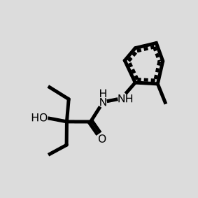 CCC(O)(CC)C(=O)NNc1ccccc1C